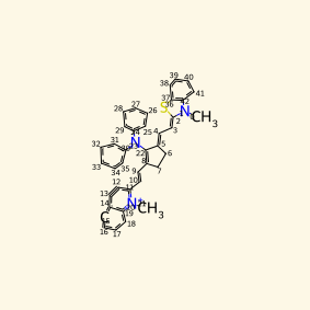 CN1/C(=C/C=C2\CCC(/C=C/c3c#cc4ccccc4[n+]3C)=C2N(c2ccccc2)c2ccccc2)Sc2ccccc21